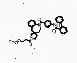 CCOOCCC(=O)N1CCC2(CCN(C(=O)c3ccc(NC(=O)c4ccccc4-c4ccccc4)cc3)c3ccccc3C2)C1